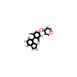 Cc1cc(OC2CCOCC2)cc(C)c1-c1cccc2c1CCC2